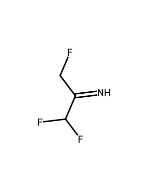 N=C(CF)C(F)F